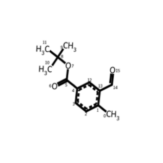 Cc1ccc(C(=O)OC(C)(C)C)cc1C=O